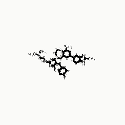 Cc1nc2cc(-c3cc(C)c4c(c3)CN(c3nc(NCCN(C)C)nc(C)c3Cc3ccc(F)cc3)CCO4)ccc2[nH]1